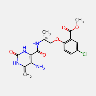 C=C1NC(=O)NC(C(=O)N[C@H](C)COc2ccc(Cl)cc2C(=O)OC)=C1N